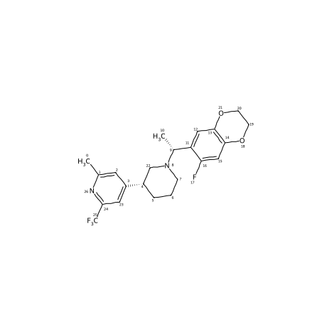 Cc1cc([C@H]2CCCN([C@H](C)c3cc4c(cc3F)OCCO4)C2)cc(C(F)(F)F)n1